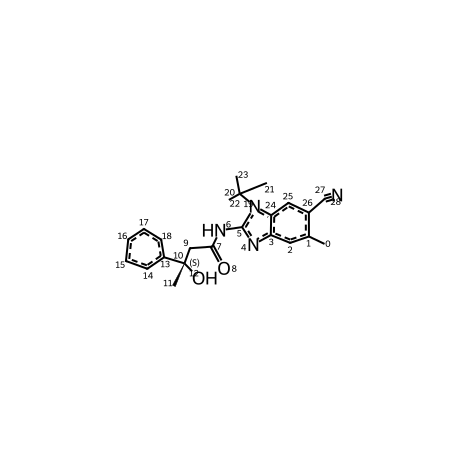 Cc1cc2nc(NC(=O)C[C@](C)(O)c3ccccc3)n(C(C)(C)C)c2cc1C#N